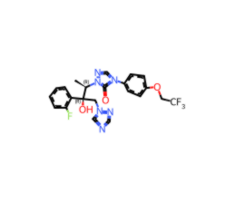 C[C@@H](n1ncn(-c2ccc(OCC(F)(F)F)cc2)c1=O)[C@](O)(Cn1cncn1)c1ccccc1F